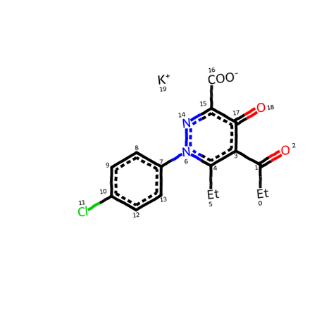 CCC(=O)c1c(CC)n(-c2ccc(Cl)cc2)nc(C(=O)[O-])c1=O.[K+]